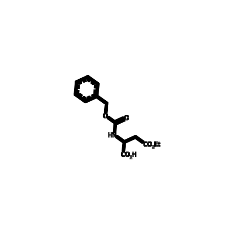 CCOC(=O)CC(NC(=O)OCc1ccccc1)C(=O)O